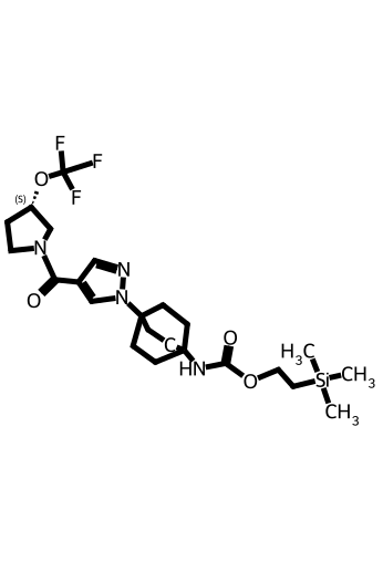 C[Si](C)(C)CCOC(=O)NC12CCC(n3cc(C(=O)N4CC[C@H](OC(F)(F)F)C4)cn3)(CC1)CC2